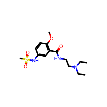 CCN(CC)CCNC(=O)c1cc(NS(C)(=O)=O)ccc1OC